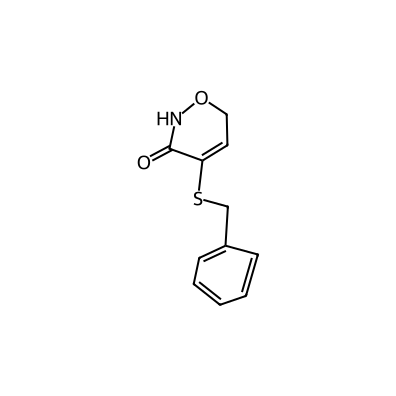 O=C1NOCC=C1SCc1ccccc1